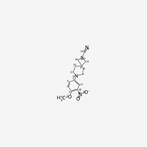 COc1ccc(N2CCC3(CC2)CB(C#N)C3)cc1[N+](=O)[O-]